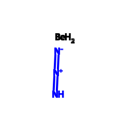 [BeH2].[N-]=[N+]=N